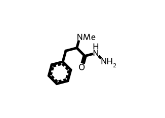 CNC(Cc1ccccc1)C(=O)NN